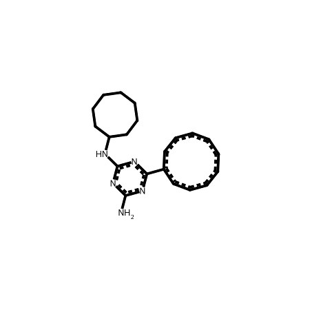 Nc1nc(NC2CCCCCCC2)nc(-c2ccccccccc2)n1